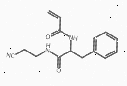 C=CC(=O)NC(Cc1ccccc1)C(=O)NCCC#N